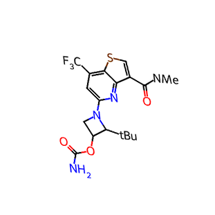 CNC(=O)c1csc2c(C(F)(F)F)cc(N3CC(OC(N)=O)C3C(C)(C)C)nc12